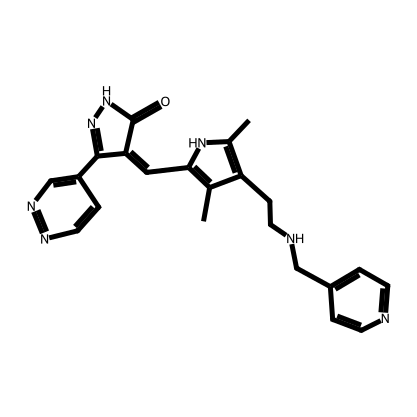 Cc1[nH]c(C=C2C(=O)NN=C2c2ccnnc2)c(C)c1CCNCc1ccncc1